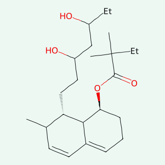 CCC(O)CC(O)CC[C@H]1C(C)C=CC2=CCC[C@H](OC(=O)C(C)(C)CC)C21